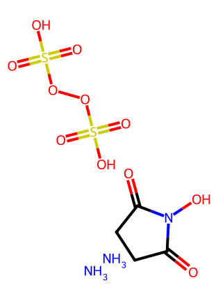 N.N.O=C1CCC(=O)N1O.O=S(=O)(O)OOS(=O)(=O)O